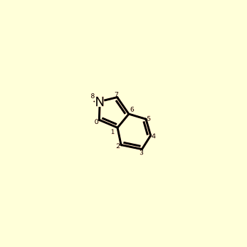 C1=c2ccccc2=C[N]1